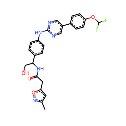 Cc1cc(CC(=O)NC(CO)c2ccc(Nc3ncc(-c4ccc(OC(F)F)cc4)cn3)cc2)on1